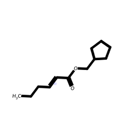 CCC/C=C/C(=O)OCC1CCCC1